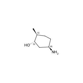 C[C@H]1CC[C@@H](N)C[C@@H]1O